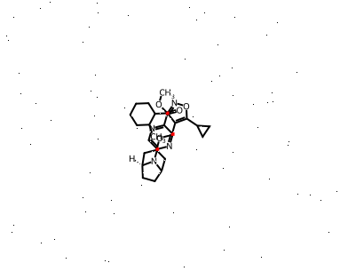 COC(=O)c1cnc(N2C3CC[C@H]2CC(OCc2c(C4CCCCC4C)noc2C2CC2)C3)cn1